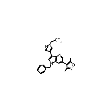 Cc1noc(C)c1-c1cnc2c(-c3cnn(CC(F)(F)F)c3)cn(Cc3ccccc3)c2c1